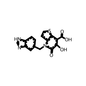 O=C(O)c1c(O)c(=O)n(Cc2ccc3[nH]cnc3c2)c2ccsc12